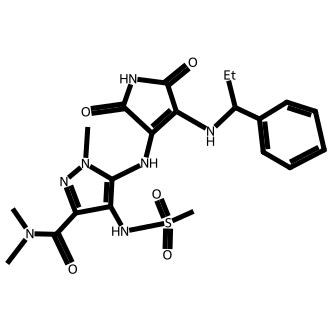 CCC(NC1=C(Nc2c(NS(C)(=O)=O)c(C(=O)N(C)C)nn2C)C(=O)NC1=O)c1ccccc1